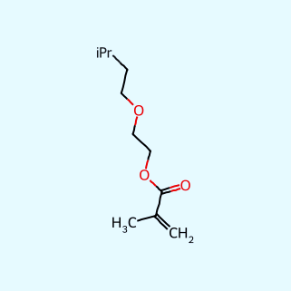 C=C(C)C(=O)OCCOCCC(C)C